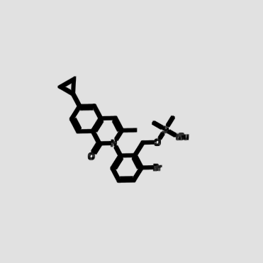 Cc1cc2cc(C3CC3)ccc2c(=O)n1-c1cccc(Br)c1CO[Si](C)(C)C(C)(C)C